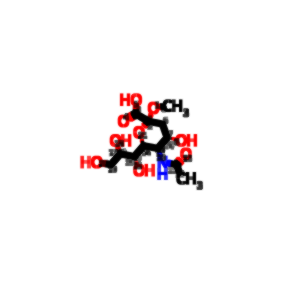 CO[C@@]1(C(=O)O)C[C@H](O)[C@@H](NC(C)=O)[C@H]([C@H](O)[C@H](O)CO)O1